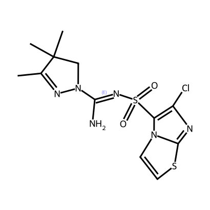 CC1=NN(/C(N)=N/S(=O)(=O)c2c(Cl)nc3sccn23)CC1(C)C